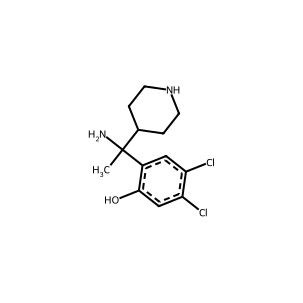 CC(N)(c1cc(Cl)c(Cl)cc1O)C1CCNCC1